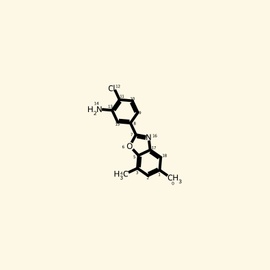 Cc1cc(C)c2oc(-c3ccc(Cl)c(N)c3)nc2c1